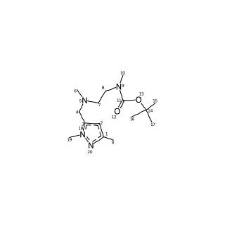 Cc1cc(CN(C)CCN(C)C(=O)OC(C)(C)C)n(C)n1